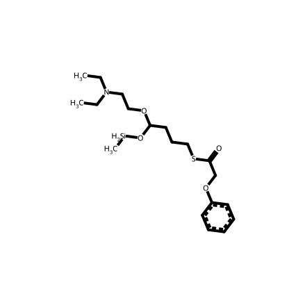 CCN(CC)CCOC(CCCSC(=O)COc1ccccc1)O[SiH2]C